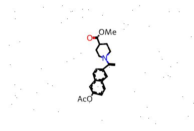 C=C(c1ccc2cc(OC(C)=O)ccc2c1)N1CCC(C(=O)OC)CC1